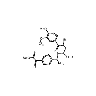 CCC1CC(C=O)N(C(N)c2ccc(C(=O)C(=O)OC)cc2)N=C1c1ccc(OC)c(OC(F)(F)F)c1